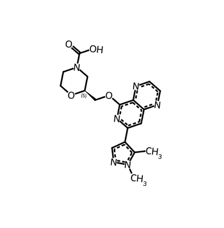 Cc1c(-c2cc3nccnc3c(OC[C@@H]3CN(C(=O)O)CCO3)n2)cnn1C